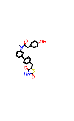 CN(C(=O)Cc1ccc(O)cc1)c1cccc(-c2ccc(CC3SC(=O)NC3=O)cc2)c1